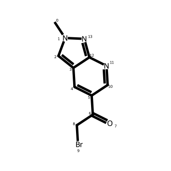 Cn1cc2cc(C(=O)CBr)cnc2n1